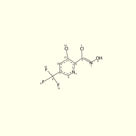 O/N=C(\Cl)c1ncc(C(F)(F)F)cc1Cl